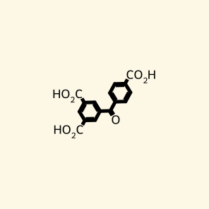 O=C(O)c1ccc(C(=O)c2cc(C(=O)O)cc(C(=O)O)c2)cc1